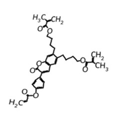 C=CC(=O)Oc1ccc(-c2cc3cc(CCCCOC(=O)C(=C)C)c(CCCCOC(=O)C(=C)C)cc3oc2=O)cc1